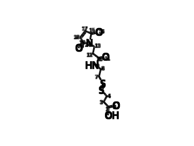 O=C(O)CCSSCCNC(=O)CCN1C(=O)C=CC1=O